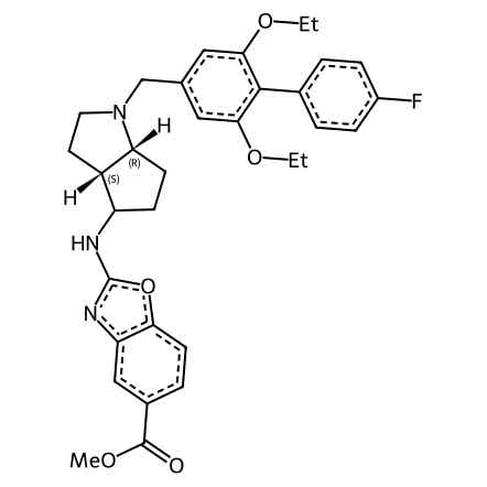 CCOc1cc(CN2CC[C@H]3C(Nc4nc5cc(C(=O)OC)ccc5o4)CC[C@H]32)cc(OCC)c1-c1ccc(F)cc1